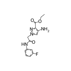 CCOC(=O)c1nn(CC(=O)Nc2cccc(F)c2)cc1N